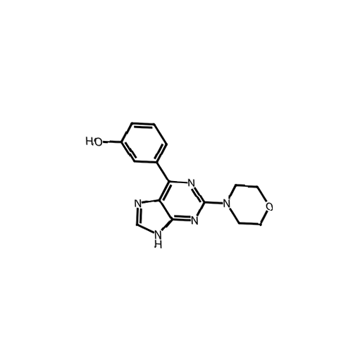 Oc1cccc(-c2nc(N3CCOCC3)nc3[nH]cnc23)c1